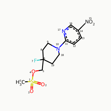 CS(=O)(=O)OCC1(F)CCN(c2ccc([N+](=O)[O-])cn2)CC1